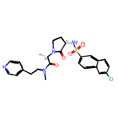 C[C@@H](C(=O)N(C)CCc1ccncc1)N1CC[C@H](NS(=O)(=O)c2ccc3cc(Cl)ccc3c2)C1=O